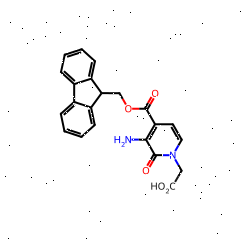 Nc1c(C(=O)OCC2c3ccccc3-c3ccccc32)ccn(CC(=O)O)c1=O